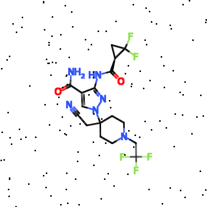 N#CCC1(n2cc(C(N)=O)c(NC(=O)[C@H]3CC3(F)F)n2)CCN(CC(F)(F)F)CC1